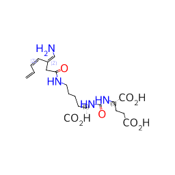 C=C/C=C\C(=C/N)CC(=O)NCCCC[C@H](NC(=O)N[C@@H](CCC(=O)O)C(=O)O)C(=O)O